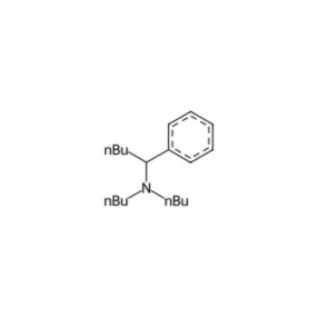 CCCCC(c1ccccc1)N(CCCC)CCCC